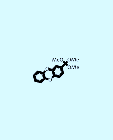 COC(OC)(OC)c1ccc2c(c1)Oc1ccccc1O2